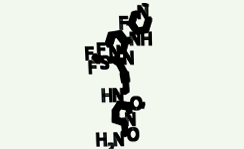 COc1nc(C(N)=O)ccc1NCC#Cc1nc2c(N[C@@H]3CCN(C)C[C@@H]3F)cccn2c1SC(F)(F)F